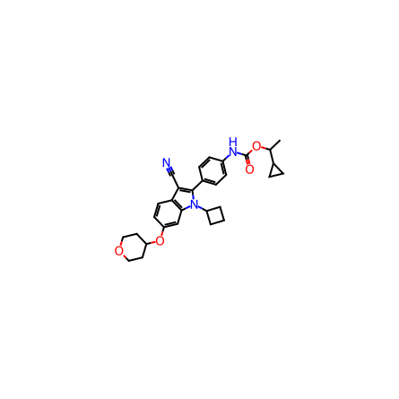 CC(OC(=O)Nc1ccc(-c2c(C#N)c3ccc(OC4CCOCC4)cc3n2C2CCC2)cc1)C1CC1